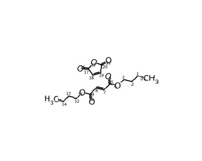 CCCCOC(=O)/C=C/C(=O)OCCCC.O=C1C=CC(=O)O1